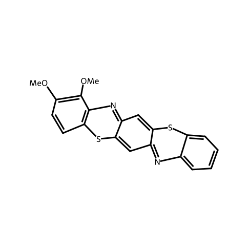 COc1ccc2c(c1OC)N=c1cc3c(cc1S2)=Nc1ccccc1S3